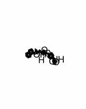 CS(=O)(=O)Nc1ccc(OCC(=O)NCC(O)CN2CCc3ccccc3C2)cc1